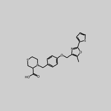 Cc1oc(-c2cccs2)nc1COc1ccc(CN2CCSCC2C(=O)O)cc1